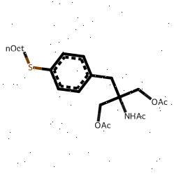 CCCCCCCCSc1ccc(CC(COC(C)=O)(COC(C)=O)NC(C)=O)cc1